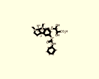 CN1CC[C@]2(C)c3cc(OC(=O)Nc4ccccc4)ccc3N(C)[C@H]12.O=C(O)C(O)C(O)C(=O)O